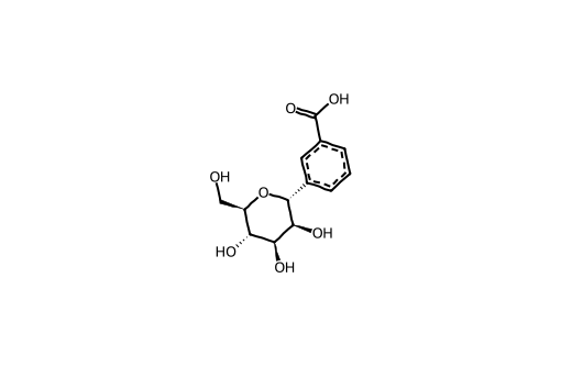 O=C(O)c1cccc([C@H]2O[C@H](CO)[C@@H](O)[C@H](O)[C@@H]2O)c1